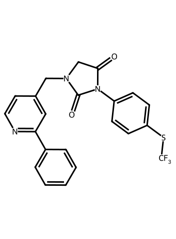 O=C1CN(Cc2ccnc(-c3ccccc3)c2)C(=O)N1c1ccc(SC(F)(F)F)cc1